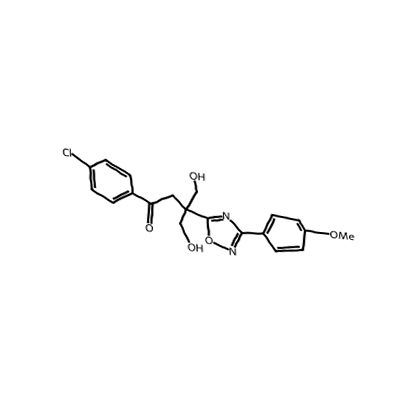 COc1ccc(-c2noc(C(CO)(CO)CC(=O)c3ccc(Cl)cc3)n2)cc1